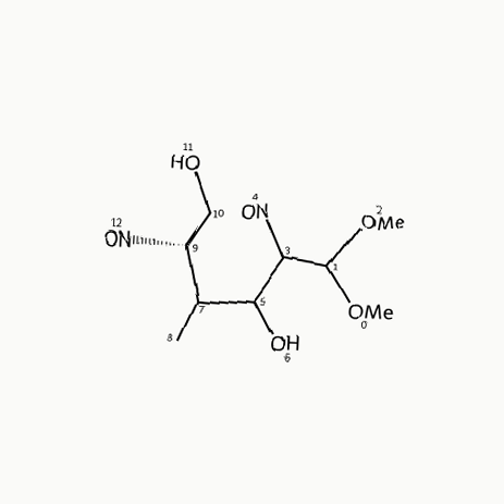 COC(OC)C(N=O)C(O)C(C)[C@@H](CO)N=O